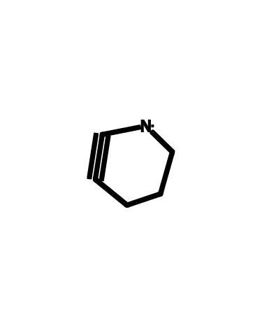 C1#C[N]CCC1